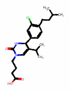 CC(C)CCc1ccc(C2NC(=O)N(CCCC(=O)O)C=C2C(C)C)cc1Cl